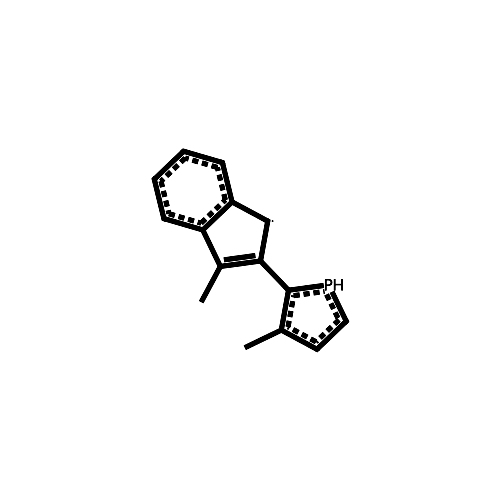 CC1=C(c2[pH]ccc2C)[CH]c2ccccc21